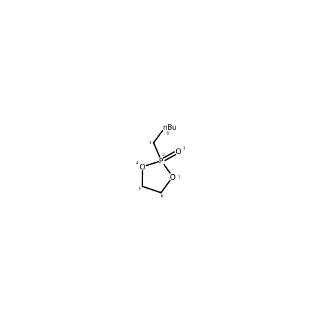 CCCCCP1(=O)OCCO1